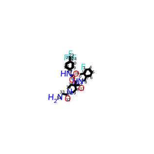 Cc1c(F)cccc1CNC(=O)C1(COC(=O)Nc2ccc(C(F)(F)F)cc2)CCN(C(=O)CN)CC1